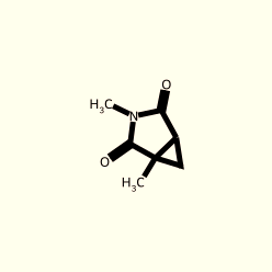 CN1C(=O)C2CC2(C)C1=O